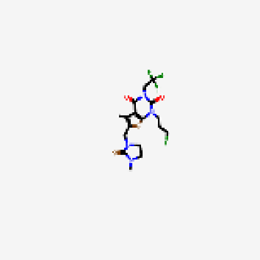 Cc1c(CN2CCN(C)C2=S)sc2c1c(=O)n(CC(F)(F)F)c(=O)n2CCCF